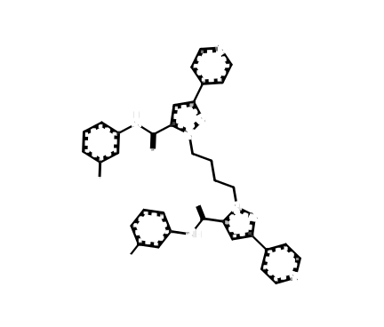 Cc1cccc(NC(=O)c2cc(-c3ccncc3)nn2CCCCn2nc(-c3ccncc3)cc2C(=O)Nc2cccc(C)c2)c1